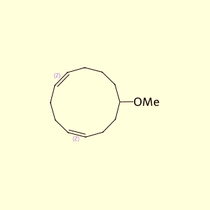 COC1CC/C=C\CC/C=C\CCC1